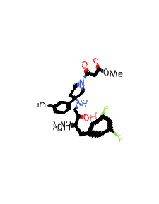 COC(=O)CC(=O)N1CC[C@@](NCC(O)C(Cc2cc(F)cc(F)c2)NC(C)=O)(c2cccc(C(C)C)c2)C1